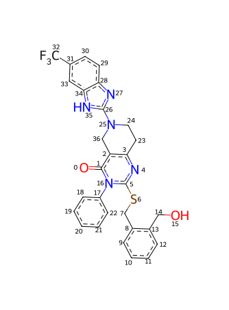 O=c1c2c(nc(SCc3ccccc3CO)n1-c1ccccc1)CCN(c1nc3ccc(C(F)(F)F)cc3[nH]1)C2